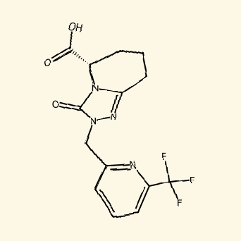 O=C(O)[C@@H]1CCCc2nn(Cc3cccc(C(F)(F)F)n3)c(=O)n21